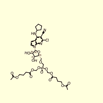 CC(=O)OCCCC(=O)OCOP(=O)(COC[C@H]1O[C@@H](n2ccc3c(NC4CCCC4)c(C#N)c(Cl)nc32)[C@H](O)[C@@H]1O)OCOC(=O)CCCOC(C)=O